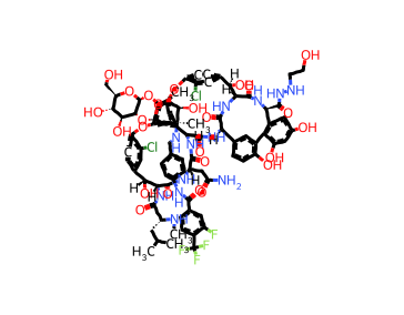 CN[C@H](CC(C)C)C(=O)N[C@H]1C(=O)N[C@@H](CC(N)=O)C(=O)N[C@H]2C(=O)N[C@H]3C(=O)N[C@H](C(=O)N[C@@H](C(=O)NNCCO)c4cc(O)cc(O)c4-c4cc3ccc4O)[C@H](O)c3ccc(c(Cl)c3)Oc3cc2cc(c3O[C@@H]2O[C@H](CO)[C@@H](O)[C@H](O)[C@H]2O[C@H]2C[C@](C)(NCc3ccc(NC(=O)c4ccc(C(F)(F)F)c(F)c4)cc3)[C@H](O)[C@H](C)O2)Oc2ccc(cc2Cl)[C@H]1O